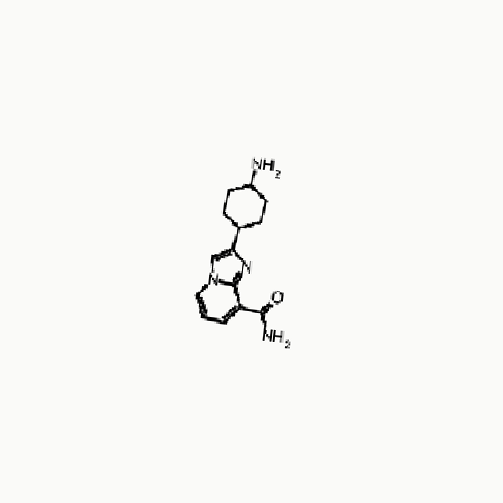 NC(=O)c1cccn2cc(C3CCC(N)CC3)nc12